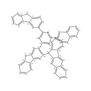 c1ccc2cc(-c3nc(-c4ccc5sc6ccccc6c5c4)nc(-c4cc5oc6ccccc6c5cc4-n4c5ccccc5c5cc6ccccc6cc54)n3)ccc2c1